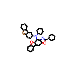 c1ccc(-c2nc3c(N(c4ccccc4)c4ccc5sc6ccccc6c5c4)c4oc5ccccc5c4cc3o2)cc1